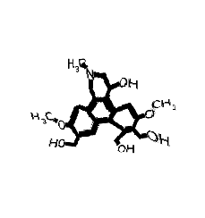 COc1cc2c3c(c4cc(OC)c(CO)c(CO)c4c2cc1CO)C(O)CN(C)C3